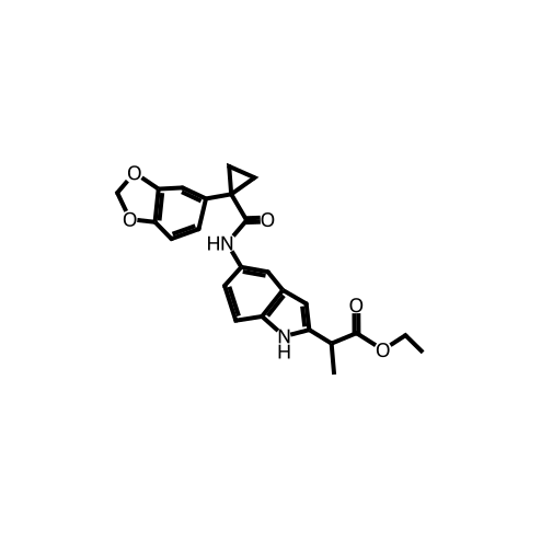 CCOC(=O)C(C)c1cc2cc(NC(=O)C3(c4ccc5c(c4)OCO5)CC3)ccc2[nH]1